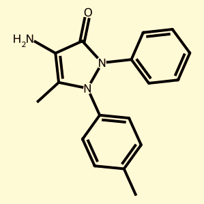 Cc1ccc(-n2c(C)c(N)c(=O)n2-c2ccccc2)cc1